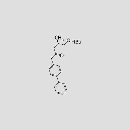 C[C@@H](COC(C)(C)C)CC(=O)Cc1ccc(-c2ccccc2)cc1